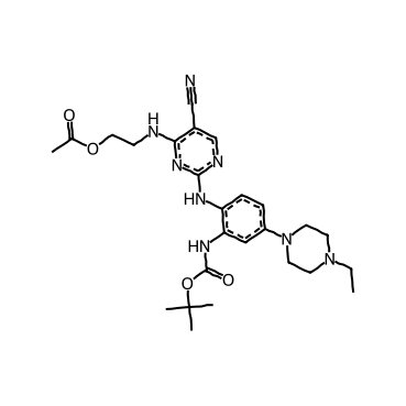 CCN1CCN(c2ccc(Nc3ncc(C#N)c(NCCOC(C)=O)n3)c(NC(=O)OC(C)(C)C)c2)CC1